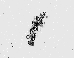 CC(=O)N1CC(Nc2cc(C(=O)NC[C@H](O)CN3CCc4c(ccc(OCc5cnco5)c4Cl)C3)nc(C(C)C)n2)C1